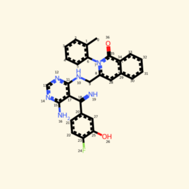 Cc1ccccc1-n1c(CNc2ncnc(N)c2C(=N)c2ccc(F)c(O)c2)cc2ccccc2c1=O